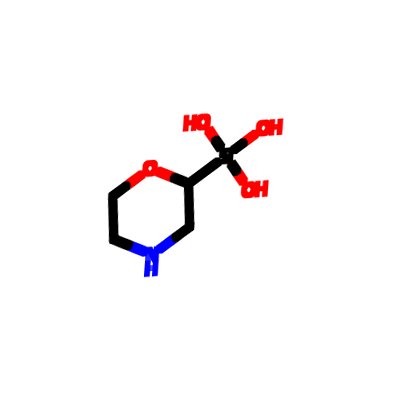 O[Si](O)(O)C1CNCCO1